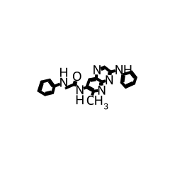 Cc1nc2nc(Nc3ccccc3)cnc2cc1NC(=O)CNc1ccccc1